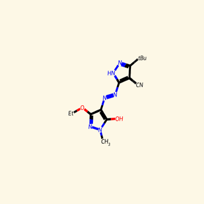 CCOc1nn(C)c(O)c1/N=N/c1[nH]nc(C(C)(C)C)c1C#N